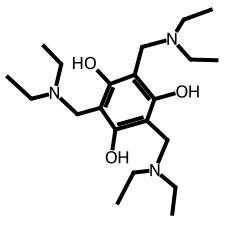 CCN(CC)Cc1c(O)c(CN(CC)CC)c(O)c(CN(CC)CC)c1O